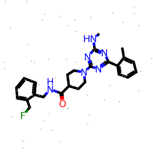 CNc1nc(-c2ccccc2C)nc(N2CCC(C(=O)NCc3ccccc3CF)CC2)n1